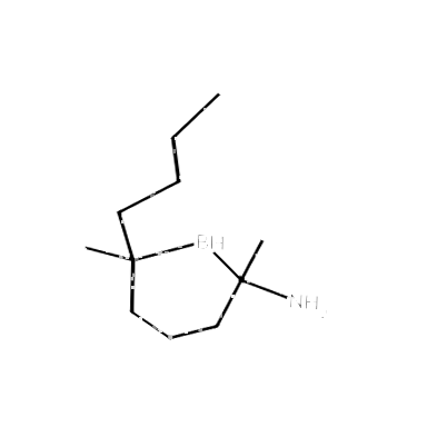 CCCCC1(C)BC(C)(N)CCC1